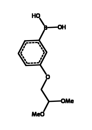 COC(COc1cccc(B(O)O)c1)OC